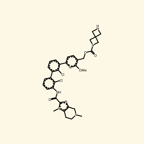 COc1nc(-c2cccc(-c3cccc(NC(=O)c4nc5c(n4C)CCN(C)C5)c3Cl)c2Cl)ccc1COC(=O)N1CC2(CNC2)C1